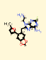 Cc1ccc(-c2cc3c(cc2Cc2nc4c(N)nc(F)nc4n2CCN)OCO3)o1